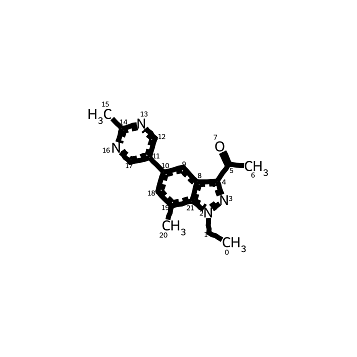 CCn1nc(C(C)=O)c2cc(-c3cnc(C)nc3)cc(C)c21